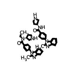 CCN(C(=O)c1ccc(-n2c(C)nc3ccccc32)cc1)[C@@H]1CCNC1.Cc1nc2ccccc2n1-c1ccc(C(=O)N[C@@H]2CCNC2)cc1